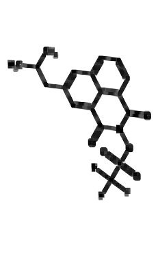 CC(C)Cc1cc2c3c(cccc3c1)C(=O)N(OS(=O)(=O)C(F)(F)F)C2=O